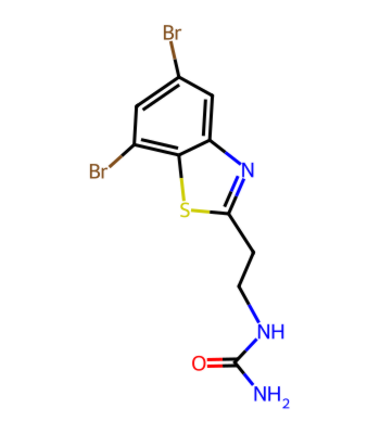 NC(=O)NCCc1nc2cc(Br)cc(Br)c2s1